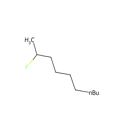 [CH2]CCCCCCCC(C)F